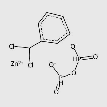 ClC(Cl)c1ccccc1.O=[PH]([O-])O[PH](=O)[O-].[Zn+2]